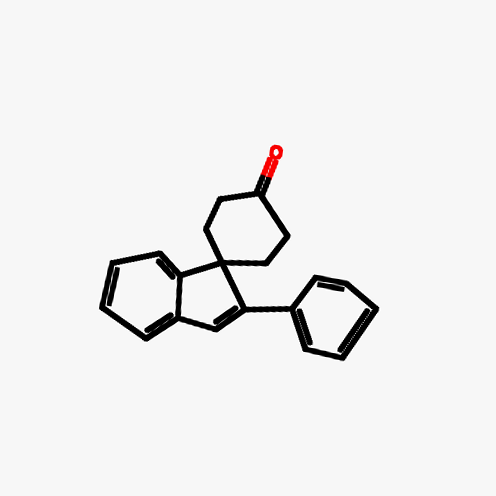 O=C1CCC2(CC1)C(c1ccccc1)=Cc1ccccc12